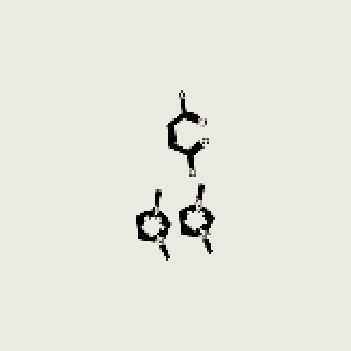 Cn1cc[n+](C)c1.Cn1cc[n+](C)c1.O=C([O-])/C=C\C(=O)[O-]